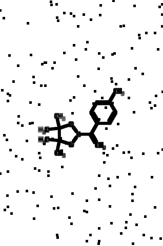 C=C(B1OC(C)(C)C(C)(C)O1)c1ccc(C)cc1